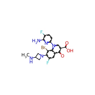 CNC1CN(c2c(F)cc3c(=O)c(C(=O)O)cn(-c4ccc(F)c(N)n4)c3c2Br)C1